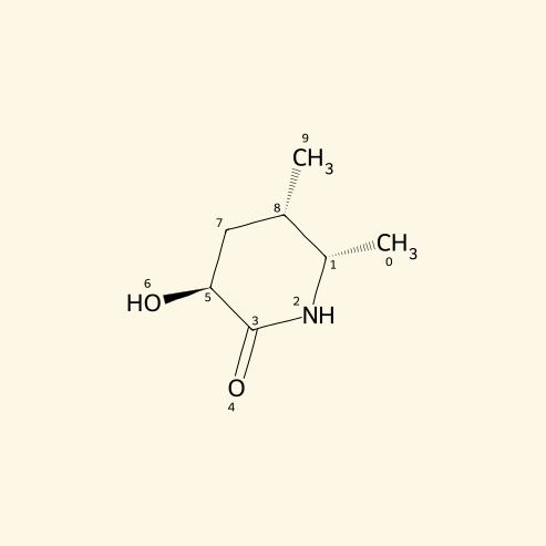 C[C@@H]1NC(=O)[C@@H](O)C[C@@H]1C